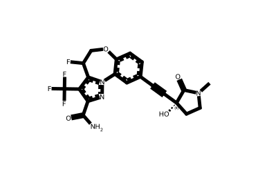 CN1CC[C@@](O)(C#Cc2ccc3c(c2)-n2nc(C(N)=O)c(C(F)(F)F)c2C(F)CO3)C1=O